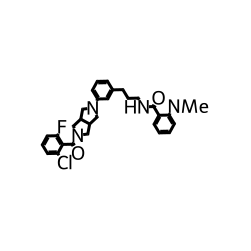 CNc1ccccc1C(=O)NCCCc1cccc(N2CC3CN(C(=O)c4c(F)cccc4Cl)CC3C2)c1